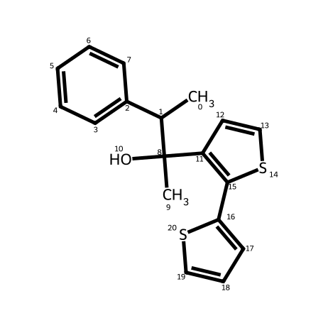 CC(c1ccccc1)C(C)(O)c1ccsc1-c1cccs1